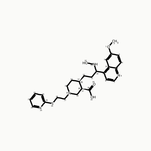 COc1ccc2nccc(C(CC[C@@H]3CCN(CCSc4ccccn4)C[C@@H]3C(=O)O)NO)c2c1